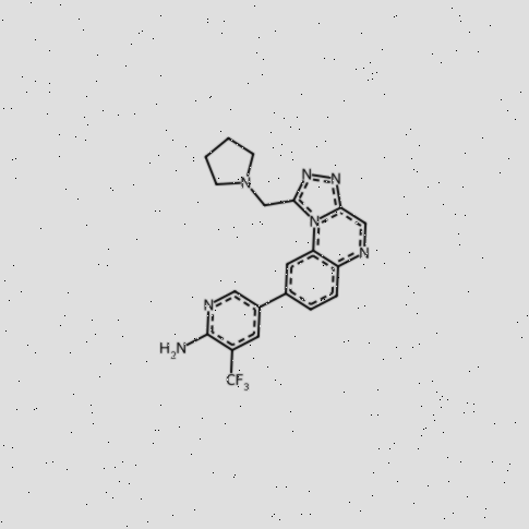 Nc1ncc(-c2ccc3ncc4nnc(CN5CCCC5)n4c3c2)cc1C(F)(F)F